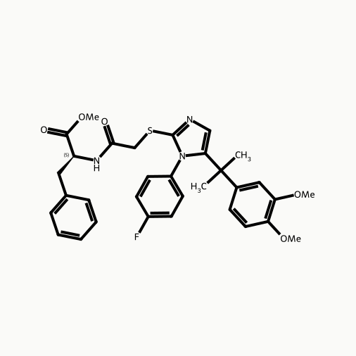 COC(=O)[C@H](Cc1ccccc1)NC(=O)CSc1ncc(C(C)(C)c2ccc(OC)c(OC)c2)n1-c1ccc(F)cc1